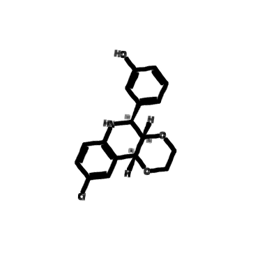 Oc1cccc([C@@H]2Nc3ccc(Cl)cc3[C@H]3OCCO[C@H]32)c1